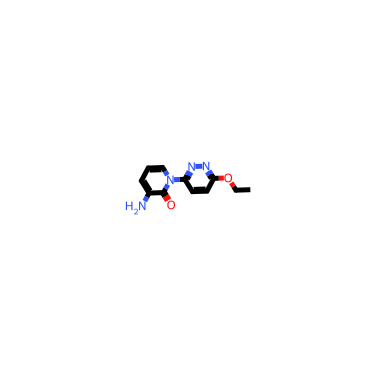 CCOc1ccc(-n2cccc(N)c2=O)nn1